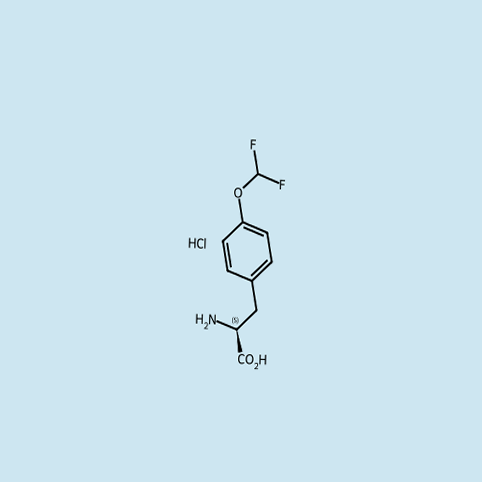 Cl.N[C@@H](Cc1ccc(OC(F)F)cc1)C(=O)O